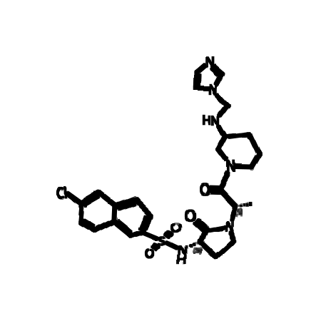 C[C@@H](C(=O)N1CCCC(NCn2ccnc2)C1)N1CC[C@H](NS(=O)(=O)c2ccc3cc(Cl)ccc3c2)C1=O